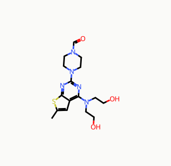 Cc1cc2c(N(CCO)CCO)nc(N3CCN(C=O)CC3)nc2s1